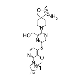 C[C@H]1C[C@H]2COc3c(Sc4cnc(N5CCC6(CC5)CO[C@@H](C)[C@H]6N)c(CO)n4)ccnc3N2C1